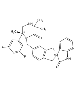 CC1(C)NC[C@@](C)(c2cc(F)cc(F)c2)N(Cc2ccc3c(c2)C[C@@]2(C3)C(=O)Nc3ncccc32)C1=O